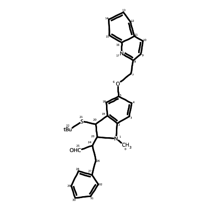 CN1c2ccc(OCc3ccc4ccccc4n3)cc2C(SC(C)(C)C)C1C(C=O)Cc1ccccc1